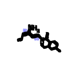 C=C/C=C(N)\C=C\NC(=C)c1ccc(C)cc1CC